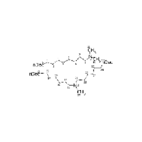 CCCCCCCCCCCCCCCCCCN(C)C.CCCCCCCCCCCCCCCCN(C)CCCCCCCCCCCCCCCC